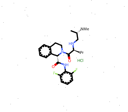 CN[C@@H](C)CN[C@H](C(=O)N1CCc2ccccc2[C@H]1C(=O)Nc1c(F)cccc1F)C(C)C.Cl